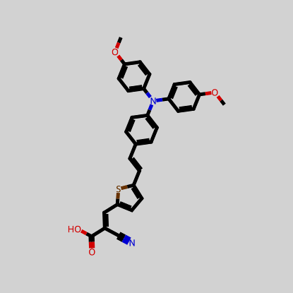 COc1ccc(N(c2ccc(/C=C/c3ccc(/C=C(\C#N)C(=O)O)s3)cc2)c2ccc(OC)cc2)cc1